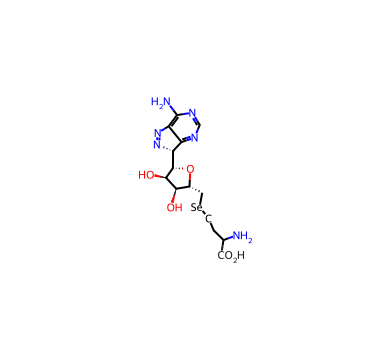 Nc1ncnc2c1N=N[C@H]2[C@@H]1O[C@H](C[Se]CCC(N)C(=O)O)[C@@H](O)[C@H]1O